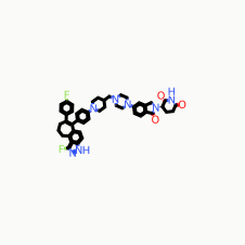 O=C1CC[C@H](N2Cc3cc(N4CCN(CC5CCN(c6ccc(C7=C(c8ccc(F)cc8)CCCc8c7ccc7[nH]nc(F)c87)cc6)CC5)CC4)ccc3C2=O)C(=O)N1